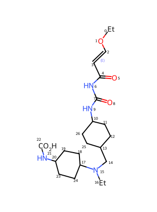 CCO/C=C/C(=O)NC(=O)NC1CCC(CN(CC)C2CCC(NC(=O)O)CC2)CC1